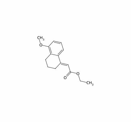 CCOC(=O)C=C1CCCc2c(OC)cccc21